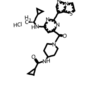 C[C@H](Nc1cc(C(=O)N2CCC(NC(=O)C3CC3)CC2)nc(-c2cnn3ccsc23)n1)C1CC1.Cl